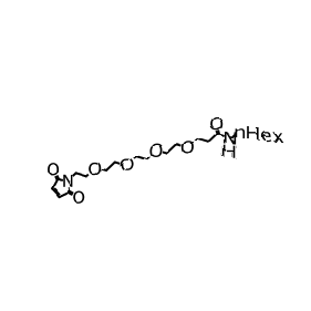 CCCCCCNC(=O)CCOCCOCCOCCOCCN1C(=O)C=CC1=O